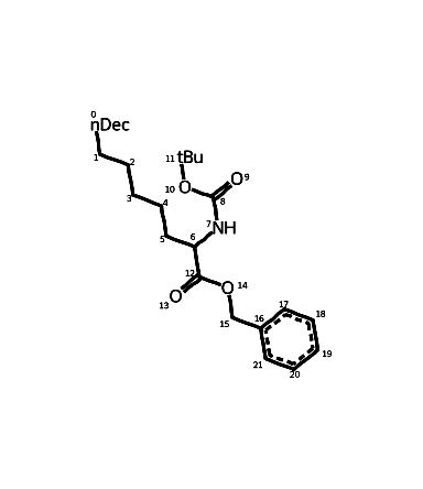 CCCCCCCCCCCCCCCC(NC(=O)OC(C)(C)C)C(=O)OCc1ccccc1